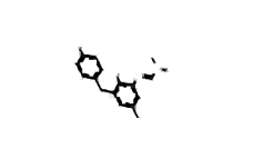 CCN(C)C=Nc1cc(C)cc(Cc2ccc(C(F)(F)F)cc2)c1Cl